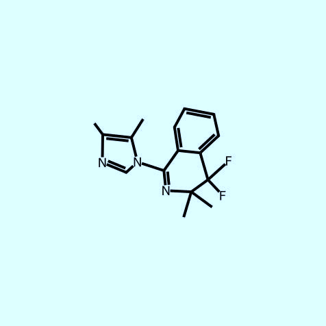 Cc1ncn(C2=NC(C)(C)C(F)(F)c3ccccc32)c1C